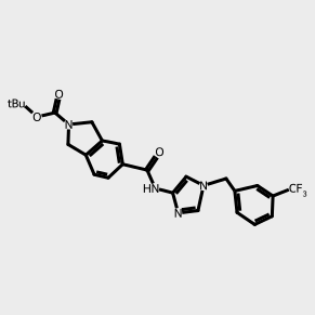 CC(C)(C)OC(=O)N1Cc2ccc(C(=O)Nc3cn(Cc4cccc(C(F)(F)F)c4)cn3)cc2C1